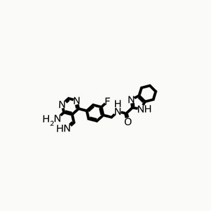 N=Cc1c(N)ncnc1-c1ccc(CNC(=O)c2nc3c([nH]2)CCCC3)c(F)c1